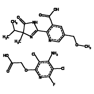 COCc1cnc(C2=NC(C)(C(C)C)C(=O)N2)c(C(=O)O)c1.Nc1c(Cl)c(F)nc(OCC(=O)O)c1Cl